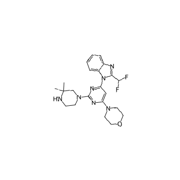 CC1(C)CN(c2nc(N3CCOCC3)cc(-n3c(C(F)F)nc4ccccc43)n2)CCN1